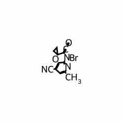 Cc1cc(C#N)c2c(n1)N(Br)C(=C=O)C1(CC1)O2